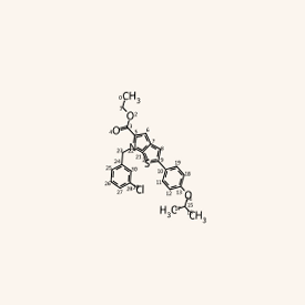 CCOC(=O)c1cc2cc(-c3ccc(OC(C)C)cc3)sc2n1Cc1cccc(Cl)c1